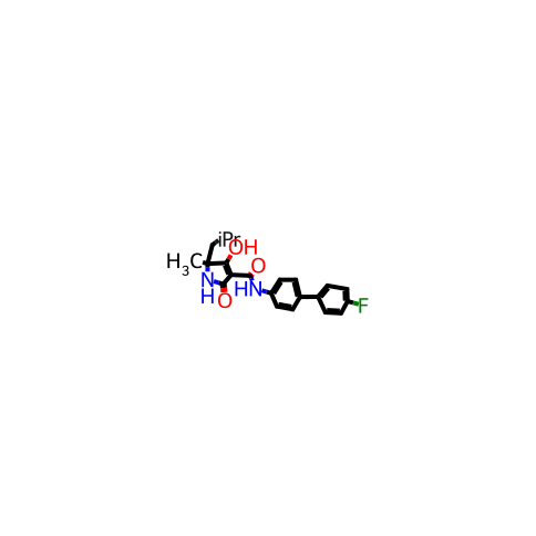 CC(C)CC1(C)NC(=O)C(C(=O)Nc2ccc(-c3ccc(F)cc3)cc2)=C1O